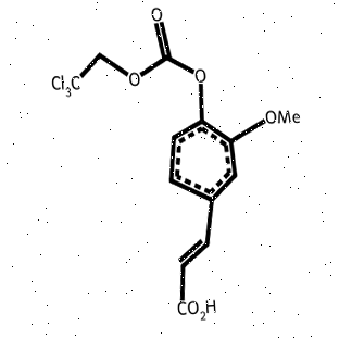 COc1cc(C=CC(=O)O)ccc1OC(=O)OCC(Cl)(Cl)Cl